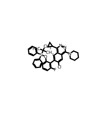 CC(C)(C)[Si](Oc1cccc(F)c1-c1cc2c(C3CC3)nnc(N3CCCCC3)c2cc1Cl)(c1ccccc1)c1ccccc1